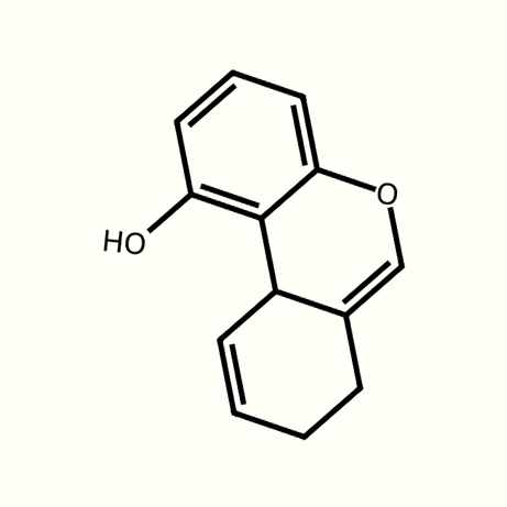 Oc1cccc2c1C1C=CCCC1=CO2